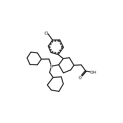 O=C(O)CC1CCC(N(CC2CCCCC2)CC2CCCCC2)C(c2ccc(Cl)cc2)C1